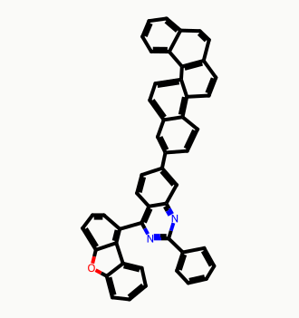 c1ccc(-c2nc(-c3cccc4oc5ccccc5c34)c3ccc(-c4ccc5c(ccc6c5ccc5ccc7ccccc7c56)c4)cc3n2)cc1